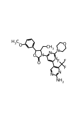 CCC1C(c2cccc(OC)c2)OC(=O)N1c1cc(-c2cnc(N)nc2C(F)(F)F)nc(N2CCOCC2)n1